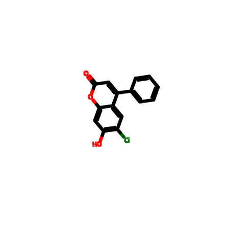 O=c1cc(-c2ccccc2)c2cc(Cl)c(O)cc2o1